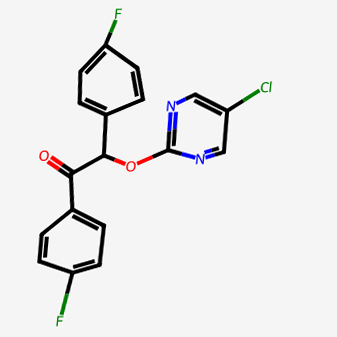 O=C(c1ccc(F)cc1)C(Oc1ncc(Cl)cn1)c1ccc(F)cc1